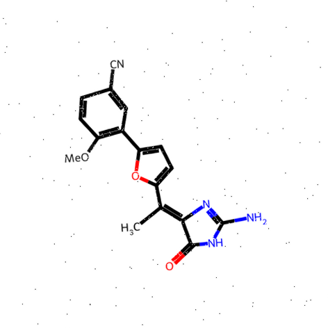 COc1ccc(C#N)cc1-c1ccc(C(C)=C2N=C(N)NC2=O)o1